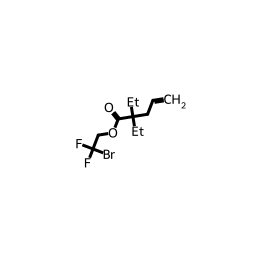 C=CCC(CC)(CC)C(=O)OCC(F)(F)Br